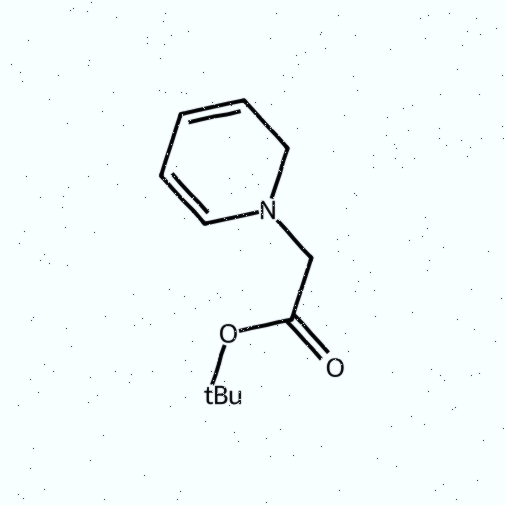 CC(C)(C)OC(=O)CN1C=CC=CC1